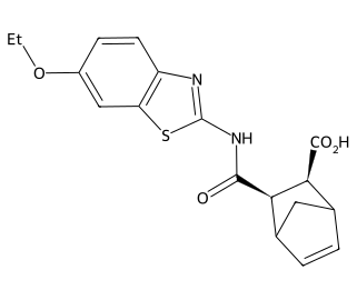 CCOc1ccc2nc(NC(=O)[C@@H]3C4C=CC(C4)[C@@H]3C(=O)O)sc2c1